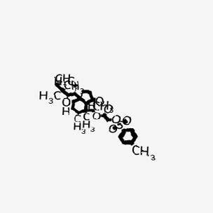 C=CC(C)(C)[C@@H](O)[C@H](CC)[C@]12CCC(=O)[C@H]1[C@](C)([C@@H](C)OC(=O)COS(=O)(=O)c1ccc(C)cc1)[C@H](C)CC2